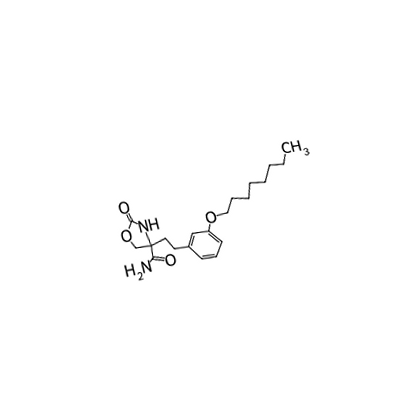 CCCCCCCCOc1cccc(CCC2(C(N)=O)COC(=O)N2)c1